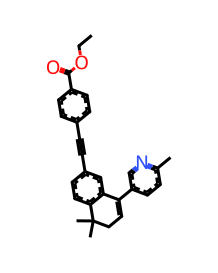 CCOC(=O)c1ccc(C#Cc2ccc3c(c2)C(c2ccc(C)nc2)=CCC3(C)C)cc1